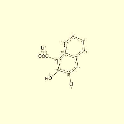 O=C([O-])c1c(O)c(Cl)cc2ccccc12.[Li+]